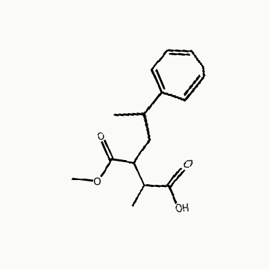 COC(=O)C(CC(C)c1ccccc1)C(C)C(=O)O